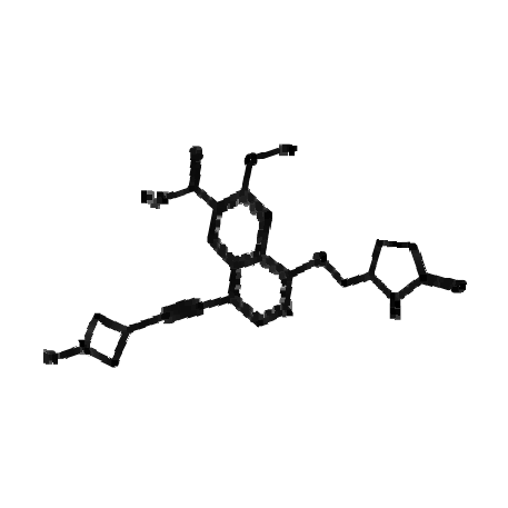 CC(C)Oc1cc2c(OCC3CCC(=O)N3)ncc(C#CC3CN(C(C)C)C3)c2cc1C(N)=O